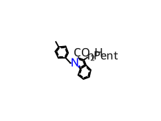 CCCCCc1c(C(=O)O)n(Cc2ccc(C)cc2)c2ccccc12